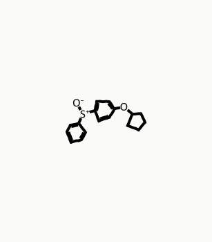 [O-][S+](c1ccccc1)c1ccc(OC2CCCC2)cc1